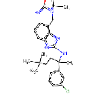 Cc1coc(=N)n1Cc1cccc2[nH]c(NC(C)(CCC(C)(C)C(=O)O)c3cccc(Cl)c3)nc12